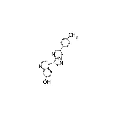 Cc1ccc(-c2cnc3c(-c4ccnc5cc(O)ccc45)cnn3c2)cc1